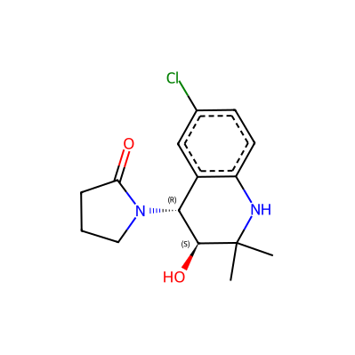 CC1(C)Nc2ccc(Cl)cc2[C@@H](N2CCCC2=O)[C@@H]1O